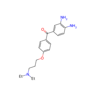 CCN(CC)CCCOc1ccc(C(=O)c2ccc(N)c(N)c2)cc1